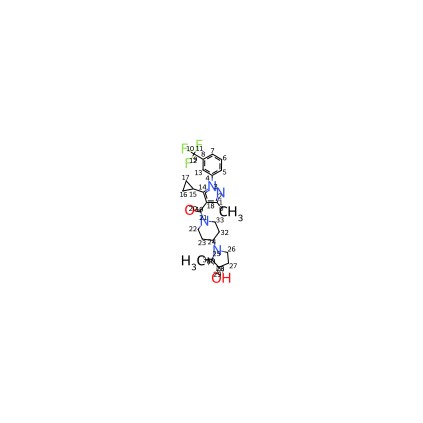 Cc1nn(-c2cccc(C(F)(F)F)c2)c(C2CC2)c1C(=O)N1CCC(N2CC[C@H](O)[C@H]2C)CC1